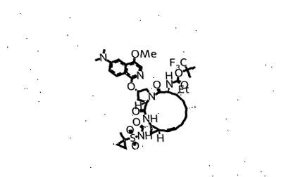 CC[C@@H]1C[C@H](C)CC/C=C\[C@@H]2C[C@@]2(C(=O)NS(=O)(=O)C2(C)CC2)NC(=O)[C@@H]2C[C@@H](Oc3ncc(OC)c4cc(N(C)C)ccc34)CN2C(=O)[C@H]1NC(=O)OC(C)(C)C(F)(F)F